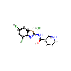 Cl.O=C(Nc1nc2c(F)cc(F)cc2s1)C1CCCNC1